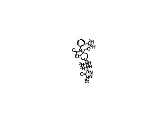 [2H]C([2H])([2H])OCC1(N(C(=O)CC)c2ccccc2)CCN(C([2H])([2H])C([2H])([2H])n2nnn(CC)c2=O)CC1